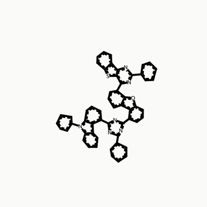 c1ccc(-c2nc(-c3cccc4oc5c(-c6nc(-c7ccccc7)nc7c6sc6ccccc67)cccc5c34)nc(-c3cccc4c3c3ccccc3n4-c3ccccc3)n2)cc1